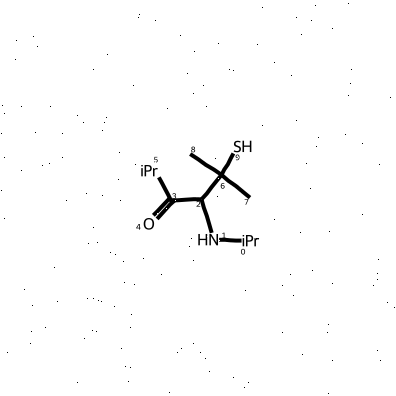 CC(C)NC(C(=O)C(C)C)C(C)(C)S